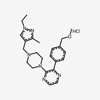 CCn1cc(CN2CCN(c3nccnc3-c3ccc(COC)cc3)CC2)c(C)n1.Cl